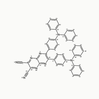 N#Cc1nc2nc(-c3ccc(N(c4ccccc4)c4ccccc4)cc3)c(-c3ccc(N(c4ccccc4)c4ccccc4)cc3)nc2nc1C#N